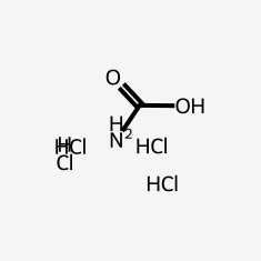 Cl.Cl.Cl.Cl.NC(=O)O